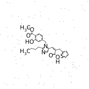 CCCCc1ncc(C=C(Cc2cccs2)C(=O)O)n1Cc1ccc(C(=O)OC)c(O)c1